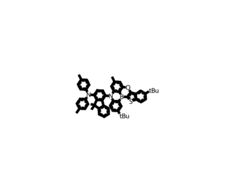 Cc1ccc(N(c2ccc(C)cc2)c2ccc(N3c4ccc(C(C)(C)C)cc4B4c5sc6ccc(C(C)(C)C)cc6c5Oc5cc(C)cc3c54)c3c2C(C)(C)c2ccccc2-3)cc1